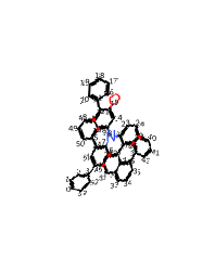 c1ccc(-c2ccc(N(c3ccc4c(c3)oc3ccccc34)c3ccccc3-c3cccc4cccc(-c5ccccc5)c34)c(-c3ccccc3)c2)cc1